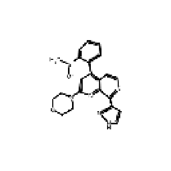 C[S+]([O-])c1ccccc1-c1cc(N2CCOCC2)nc2c(-c3cc[nH]n3)nccc12